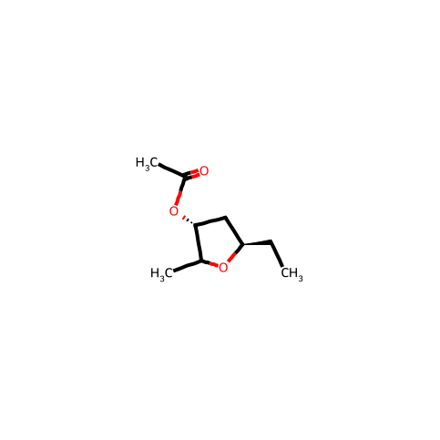 CC[C@@H]1C[C@@H](OC(C)=O)C(C)O1